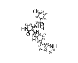 Cc1cc(N2CCCC3(CCCNC3)C2)cc2[nH]c(-c3c(NCC(O)c4cccc(Cl)c4)cc[nH]c3=O)nc12